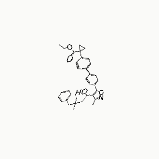 CCOC(=O)C1(c2ccc(-c3ccc(-c4onc(C)c4C(O)CC(C)(C)Cc4ccccc4)cc3)cc2)CC1